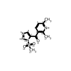 Cc1ccc(C(=O)c2cnnn2S(C)(=O)=O)c(C)n1